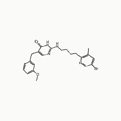 COc1cccc(Cc2cnc(NCCCCc3ncc(Br)cc3C)[nH]c2=O)c1